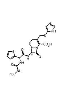 CCCCNC(=O)NC(C(=O)N[C@@H]1C(=O)N2C(C(=O)O)=C(CSc3cnn[nH]3)CSC12)c1cccs1